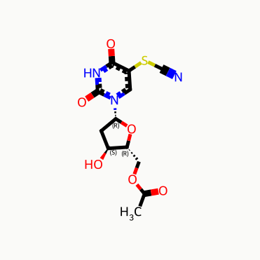 CC(=O)OC[C@H]1O[C@@H](n2cc(SC#N)c(=O)[nH]c2=O)C[C@@H]1O